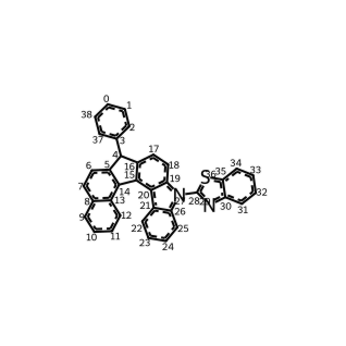 c1ccc(C2c3ccc4ccccc4c3-c3c2ccc2c3c3ccccc3n2-c2nc3ccccc3s2)cc1